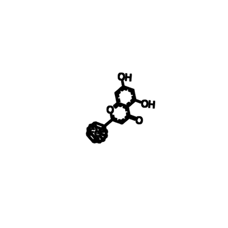 O=c1cc([C]23[CH]4[CH]5[CH]6[CH]2[Fe]56432789[CH]3[CH]2[CH]7[CH]8[CH]39)oc2cc(O)cc(O)c12